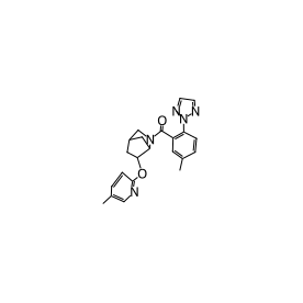 Cc1ccc(OC2CC3CC2N(C(=O)c2cc(C)ccc2-n2nccn2)C3)nc1